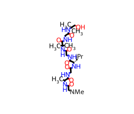 CNCC(=O)NC(C)C(=O)NCC(=O)N[C@@H](CC(C)C)C(=O)NCC(=O)NC(C)(C)C(=O)NCC(=O)NC(C)(C)CO